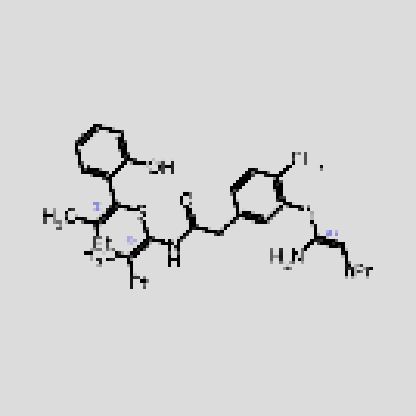 CCC/C=C(\N)Sc1cc(CC(=O)N/C(S/C(=C(/C)CC)c2ccccc2O)=C(/C)CC)ccc1C